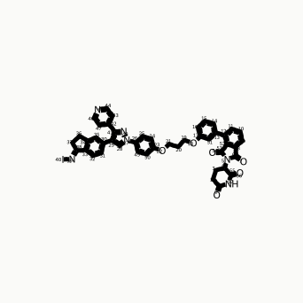 O=C1CCC(N2C(=O)c3cccc(-c4cccc(OCCCOc5ccc(-n6cc(-c7ccc8c(c7)CC/C8=N\I)c(-c7ccncc7)n6)cc5)c4)c3C2=O)C(=O)N1